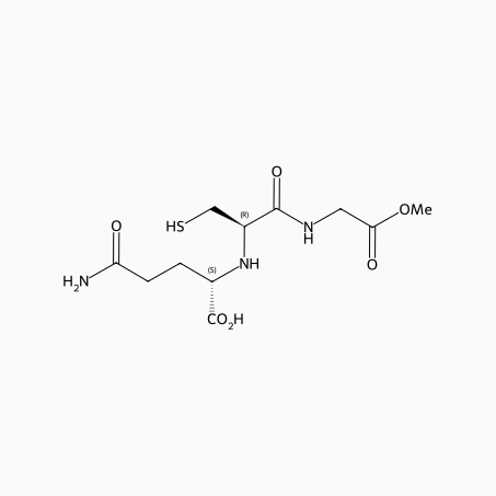 COC(=O)CNC(=O)[C@H](CS)N[C@@H](CCC(N)=O)C(=O)O